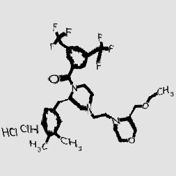 CCOC[C@H]1COCCN1CCN1CCN(C(=O)c2cc(C(F)(F)F)cc(C(F)(F)F)c2)[C@H](Cc2ccc(C)c(C)c2)C1.Cl.Cl